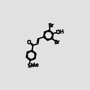 CSc1ccc(C(=O)C=Cc2cc(Br)c(O)c(Br)c2)cc1